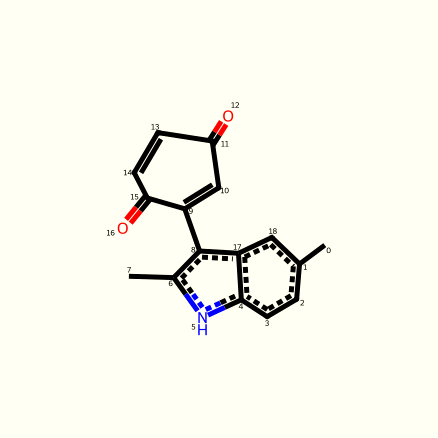 Cc1ccc2[nH]c(C)c(C3=CC(=O)C=CC3=O)c2c1